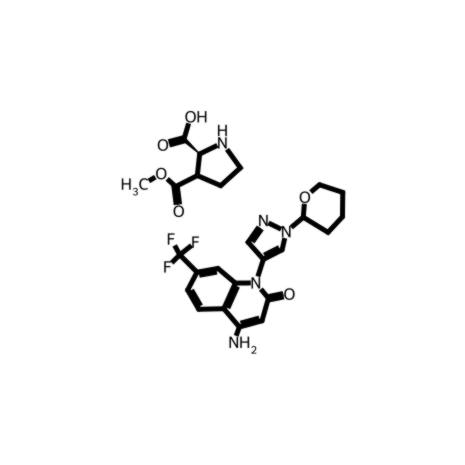 COC(=O)C1CCN[C@@H]1C(=O)O.Nc1cc(=O)n(-c2cnn(C3CCCCO3)c2)c2cc(C(F)(F)F)ccc12